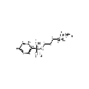 CC(C)(SCCC[SiH2]O[SiH3])c1ccccc1